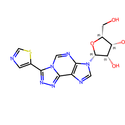 OC[C@H]1O[C@@H](n2cnc3c2ncn2c(-c4cncs4)nnc32)[C@@H](O)[C@H]1O